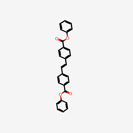 O=C(Oc1ccccc1)c1ccc(/C=C/c2ccc(C(=O)Oc3ccccc3)cc2)cc1